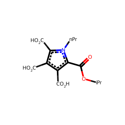 CCCn1c(C(=O)O)c(C(=O)O)c(C(=O)O)c1C(=O)OC(C)C